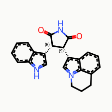 O=C1NC(=O)[C@@H](c2c[nH]c3ccccc23)[C@H]1c1cn2c3c(cccc13)CCC2